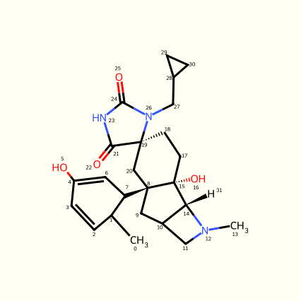 CC1C=CC(O)=CC1[C@]12CC3CN(C)[C@H]3[C@]1(O)CC[C@]1(C2)C(=O)NC(=O)N1CC1CC1